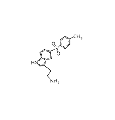 Cc1ccc(S(=O)(=O)c2ccc3[nH]cc(CCN)c3c2)cc1